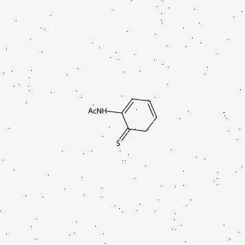 CC(=O)NC1=CC=CCC1=S